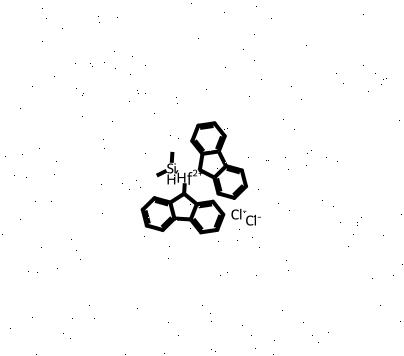 C[SiH](C)[Hf+2]([CH]1c2ccccc2-c2ccccc21)[CH]1c2ccccc2-c2ccccc21.[Cl-].[Cl-]